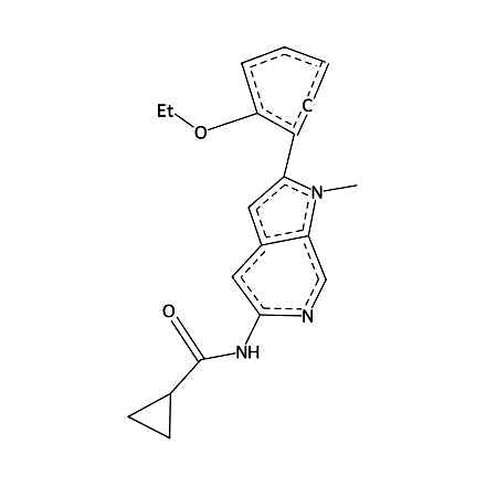 CCOc1ccccc1-c1cc2cc(NC(=O)C3CC3)ncc2n1C